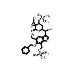 CCCC(c1coc2c(CO[Si](C)(C)C(C)(C)C)c(OCc3ccccc3)c(CC(C)C)cc12)C1CC(O[Si](C)(C)C(C)(C)C)C2(OC2CC)C(=O)O1